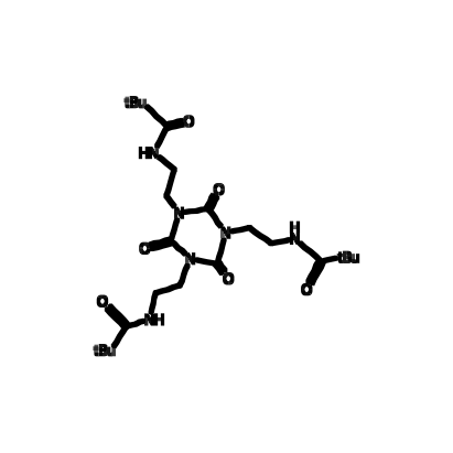 CC(C)(C)C(=O)NCCn1c(=O)n(CCNC(=O)C(C)(C)C)c(=O)n(CCNC(=O)C(C)(C)C)c1=O